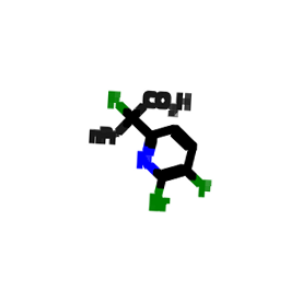 CCCC(F)(C(=O)O)c1ccc(F)c(Br)n1